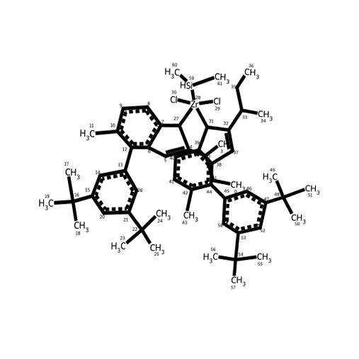 CCC(C)C1=Cc2c(ccc(C)c2-c2cc(C(C)(C)C)cc(C(C)(C)C)c2)[CH]1[Zr]([Cl])([Cl])([CH]1C(C(C)CC)=Cc2c1ccc(C)c2-c1cc(C(C)(C)C)cc(C(C)(C)C)c1)[SiH](C)C